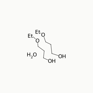 CCOCCCO.CCOCCCO.O